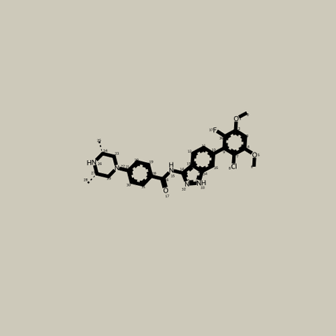 COc1cc(OC)c(Cl)c(-c2ccc3c(NC(=O)c4ccc(N5C[C@@H](C)N[C@@H](C)C5)cc4)n[nH]c3c2)c1F